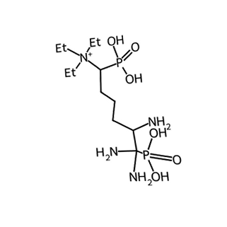 CC[N+](CC)(CC)C(CCCC(N)C(N)(N)P(=O)(O)O)P(=O)(O)O